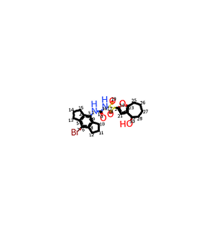 O=C(Nc1c2c(c(Br)c3c1CCC3)CCC2)NS(=O)(=O)c1cc2c(o1)CCCCC2O